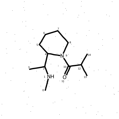 CNC(C)C1CCCCN1C(=O)C(C)C